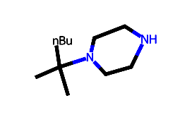 CCCCC(C)(C)N1CCNCC1